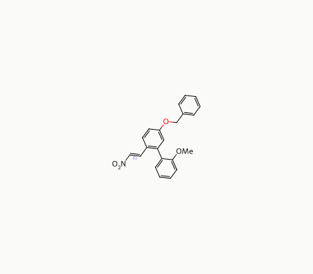 COc1ccccc1-c1cc(OCc2ccccc2)ccc1/C=C/[N+](=O)[O-]